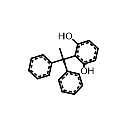 CC(c1ccccc1)(c1ccccc1)c1c(O)cccc1O